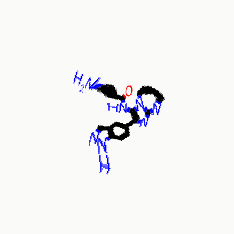 NCCC(=O)Nc1c(-c2ccc3[nH]ncc3c2)nc2ncccn12